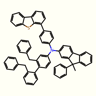 CC1(c2ccccc2)c2ccccc2-c2ccc(N(c3ccc(-c4cccc5c4sc4ccccc45)cc3)c3ccc(-c4ccccc4Cc4ccccc4)c(Cc4ccccc4)c3)cc21